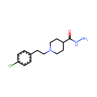 NNC(=O)C1CCN(CCc2ccc(Cl)cc2)CC1